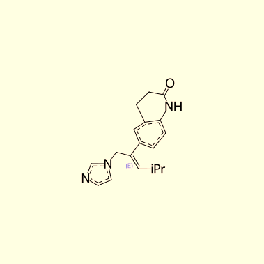 CC(C)/C=C(/Cn1ccnc1)c1ccc2c(c1)CCC(=O)N2